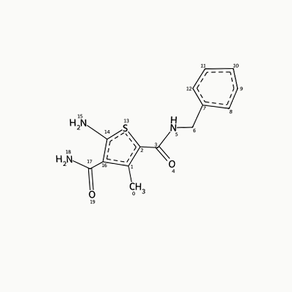 Cc1c(C(=O)NCc2ccccc2)sc(N)c1C(N)=O